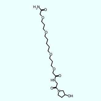 NC(=O)COCCCOCCCCCOCCCOCC(=O)NCC(=O)N1CCC(O)C1